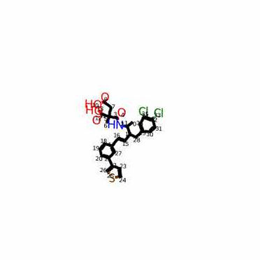 CC(NC(=O)C(C)(CC(=O)O)C(=O)O)C(/C=C/c1cccc(-c2ccsc2)c1)Cc1ccc(Cl)c(Cl)c1